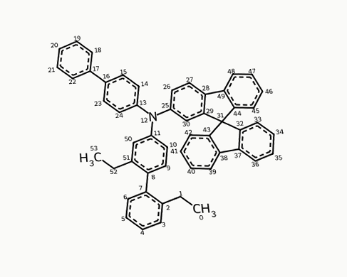 CCc1ccccc1-c1ccc(N(c2ccc(-c3ccccc3)cc2)c2ccc3c(c2)C2(c4ccccc4-c4ccccc42)c2ccccc2-3)cc1CC